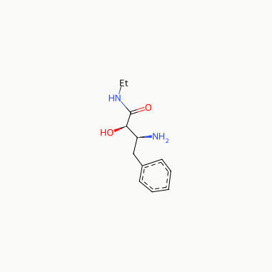 CCNC(=O)[C@H](O)[C@@H](N)Cc1ccccc1